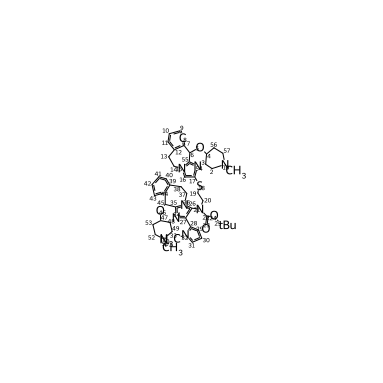 CN1CCC(OC2c3ccccc3CCn3cc(SCCN(C(=O)OC(C)(C)C)c4c(-c5cccn5C)nc5n4CCc4ccccc4C5OC4CCN(C)CC4)nc32)CC1